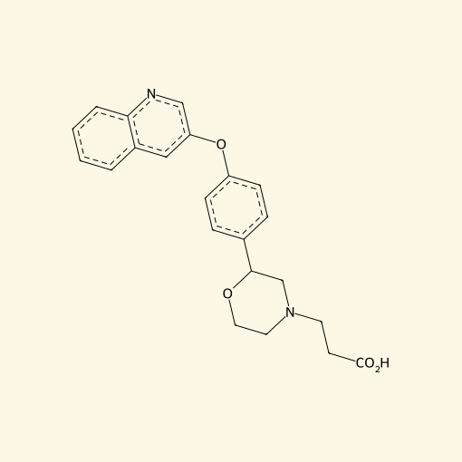 O=C(O)CCN1CCOC(c2ccc(Oc3cnc4ccccc4c3)cc2)C1